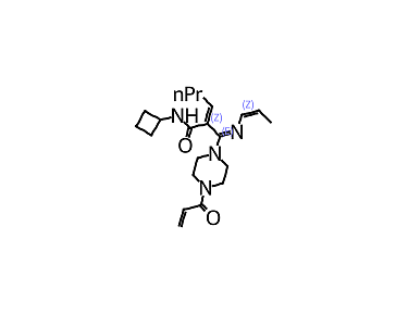 C=CC(=O)N1CCN(C(=N/C=C\C)/C(=C/CCC)C(=O)NC2CCC2)CC1